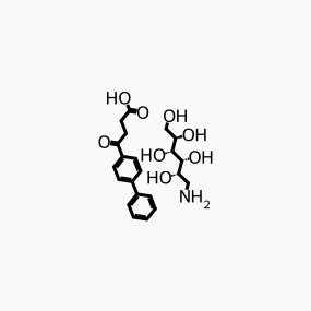 NC[C@H](O)[C@@H](O)[C@H](O)[C@H](O)CO.O=C(O)CCC(=O)c1ccc(-c2ccccc2)cc1